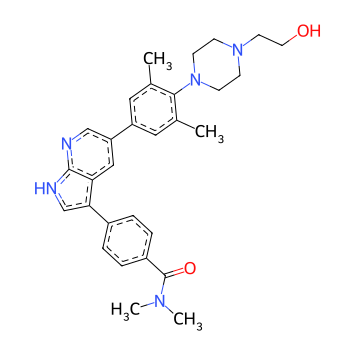 Cc1cc(-c2cnc3[nH]cc(-c4ccc(C(=O)N(C)C)cc4)c3c2)cc(C)c1N1CCN(CCO)CC1